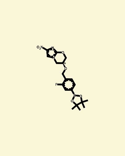 CC1(C)OB(c2ccc(CO[C@@H]3COc4nc([N+](=O)[O-])cn4C3)c(F)c2)OC1(C)C